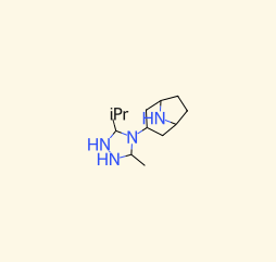 CC(C)C1NNC(C)N1C1CC2CCC(C1)N2